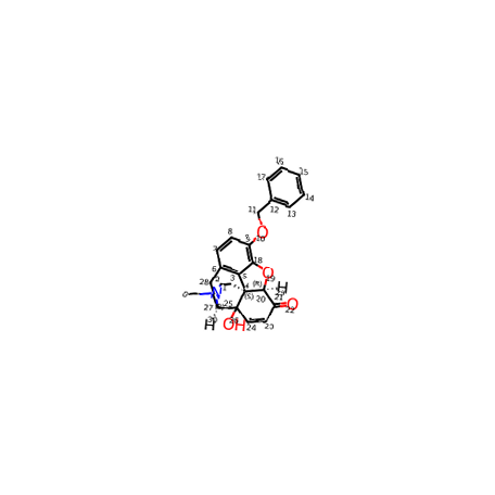 CN1CC[C@]23c4c5ccc(OCc6ccccc6)c4O[C@H]2C(=O)C=CC3(O)[C@H]1C5